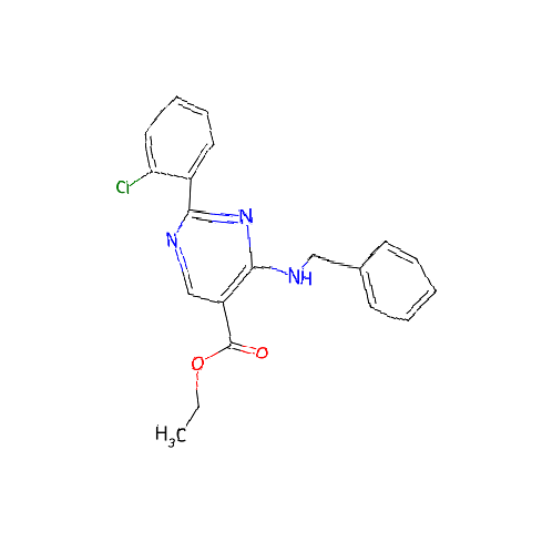 CCOC(=O)c1cnc(-c2ccccc2Cl)nc1NCc1ccccc1